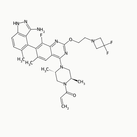 C=CC(=O)N1C[C@H](C)N(c2nc(OCCN3CC(F)(F)C3)nc3c(F)c(-c4c(C)ccc5[nH]nc(N)c45)c(C)cc23)C[C@H]1C